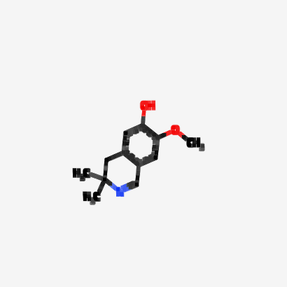 COc1cc2c(cc1O)CC(C)(C)N=C2